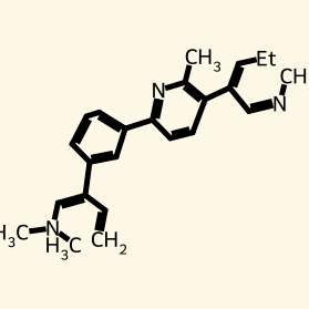 C=C/C(=C\N(C)C)c1cccc(-c2ccc(C(/C=N\C)=C/CC)c(C)n2)c1